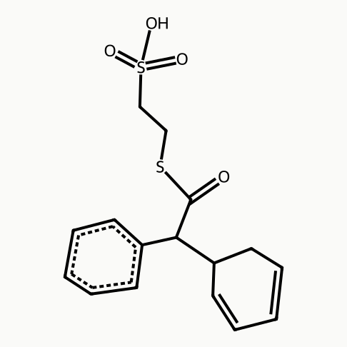 O=C(SCCS(=O)(=O)O)C(c1ccccc1)C1C=CC=CC1